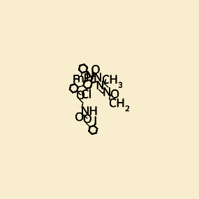 C=CC(=O)N1CCN(c2nc(=O)n(-c3ccccc3CCC)c3cc(-c4c(F)cccc4OCCCNC(=O)OCc4ccccc4I)c(Cl)cc23)[C@@H](C)C1